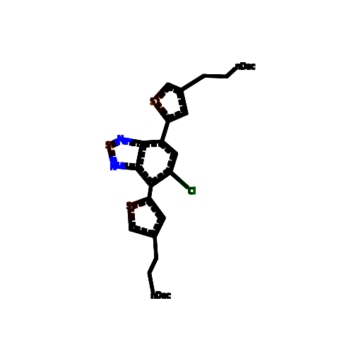 CCCCCCCCCCCCc1csc(-c2cc(Cl)c(-c3cc(CCCCCCCCCCCC)cs3)c3nsnc23)c1